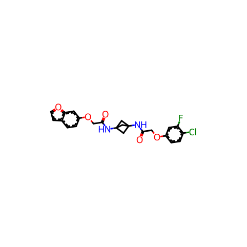 O=C(COc1ccc(Cl)c(F)c1)NC12CC(NC(=O)COc3ccc4ccoc4c3)(C1)C2